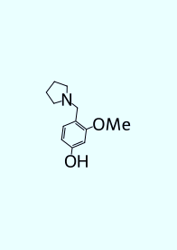 COc1cc(O)ccc1CN1CCCC1